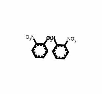 O=[N+]([O-])c1ccccc1[N+](=O)[O-].O=[N+]([O-])c1ccccc1[N+](=O)[O-]